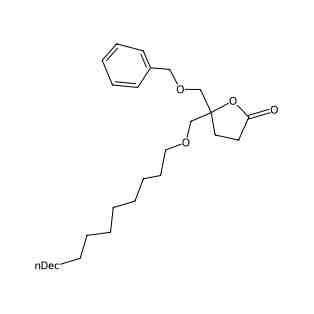 CCCCCCCCCCCCCCCCCCOCC1(COCc2ccccc2)CCC(=O)O1